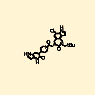 CC(C)(C)CN1Cc2c(cc(Cl)c3[nH]ccc23)C[C@@H](CC(=O)N2CCC(c3cc4[nH]ccc4[nH]c3=O)CC2)C1=O